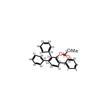 COC(=O)Oc1c(-c2ccccc2)ccc(-c2ccccc2)c1-c1ccccc1